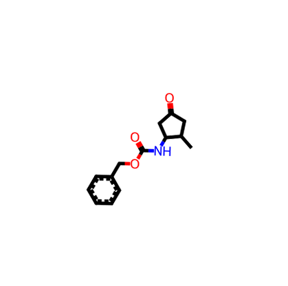 CC1CC(=O)CC1NC(=O)OCc1ccccc1